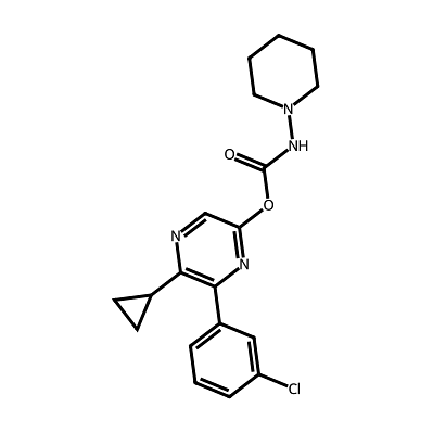 O=C(NN1CCCCC1)Oc1cnc(C2CC2)c(-c2cccc(Cl)c2)n1